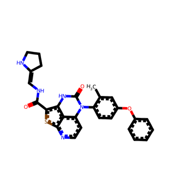 Cc1cc(Oc2ccccc2)ccc1N1C(=O)Nc2c(C(=O)N/C=C3\CCCN3)sc3nccc1c23